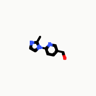 Cc1nccn1-c1ccc(C=O)cn1